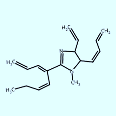 C=C/C=C\C1C(C=C)N=C(C(/C=C\CC)=C/C=C)N1C